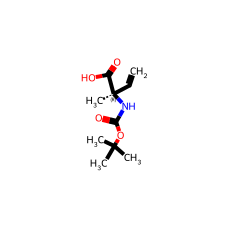 C=C[C@@](C)(NC(=O)OC(C)(C)C)C(=O)O